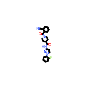 N#Cc1ccccc1C(=O)N1CCC(C(=O)Nc2ccn(-c3ccccc3F)n2)CC1